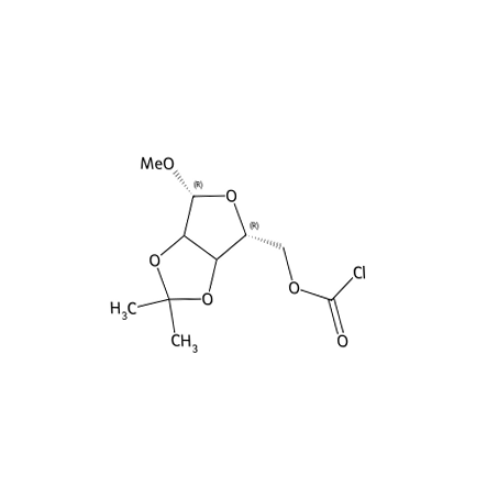 CO[C@@H]1O[C@H](COC(=O)Cl)C2OC(C)(C)OC21